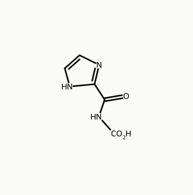 O=C(O)NC(=O)c1ncc[nH]1